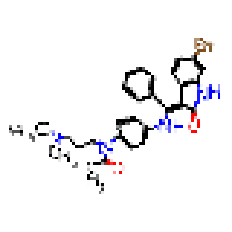 CC(=O)N(CCCN(C)C)c1ccc(N/C(=C2\C(=O)Nc3cc(Br)ccc32)c2ccccc2)cc1